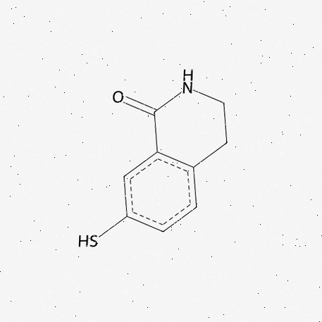 O=C1NCCc2ccc(S)cc21